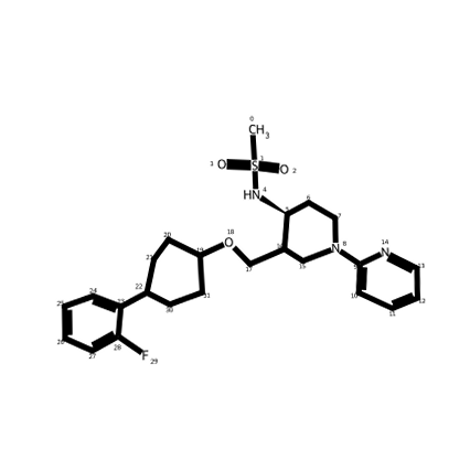 CS(=O)(=O)N[C@H]1CCN(c2ccccn2)CC1COC1CCC(c2ccccc2F)CC1